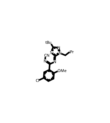 COc1ccc(Cl)cc1C(=NC#N)/N=c1\sc(C(C)(C)C)nn1CC(C)C